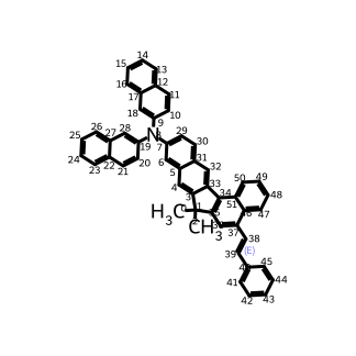 CC1(C)c2cc3cc(N(c4ccc5ccccc5c4)c4ccc5ccccc5c4)ccc3cc2-c2c1cc(/C=C/c1ccccc1)c1ccccc21